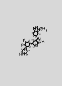 Cn1nnc2ccc(-c3c[nH]c4ncc(-c5cc(F)c(F)c(N6CCNCC6)c5)cc34)cc21